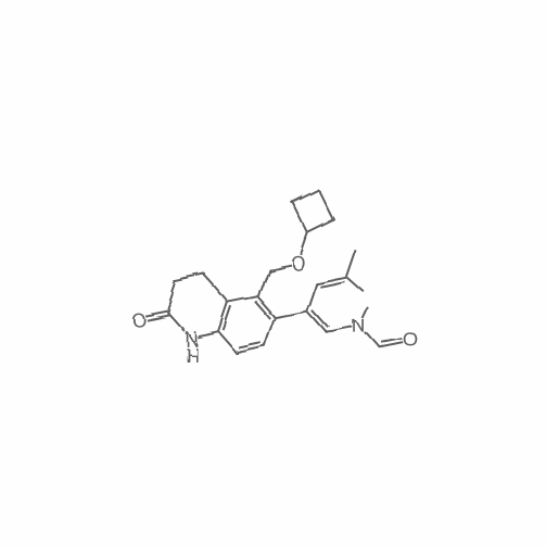 CC(C)=C/C(=C\N(C)C=O)c1ccc2c(c1COC1CCC1)CCC(=O)N2